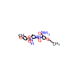 CCCCCOc1ccc(NC(=O)c2cccc(NS(=O)(=O)c3ccc(OC)cc3)c2)c(C(N)=O)c1